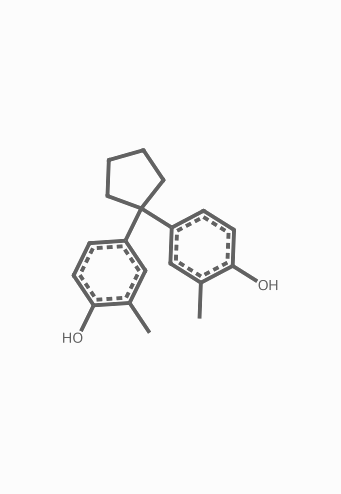 Cc1cc(C2(c3ccc(O)c(C)c3)CCCC2)ccc1O